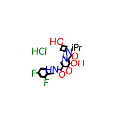 CC(C)N1C(=O)c2c(O)c(=O)c(C(=O)NCc3ccc(F)cc3F)cn2C[C@]12C[C@H](O)C2.Cl